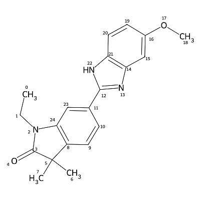 CCN1C(=O)C(C)(C)c2ccc(-c3nc4cc(OC)ccc4[nH]3)cc21